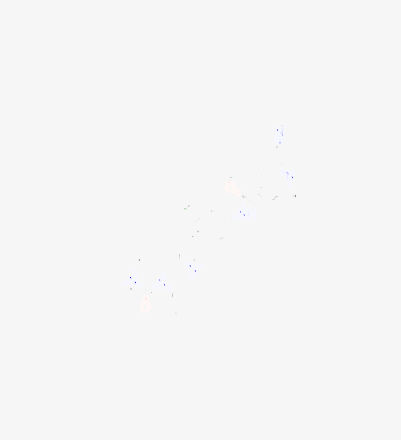 Cc1c(CN2CCN(C(=O)N3CCCC3)C(C)C2)cc(Cl)cc1NC(=O)c1ccnc(C#N)c1